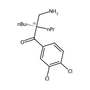 CCCC[C@](CN)(CCC)C(=O)c1ccc(Cl)c(Cl)c1